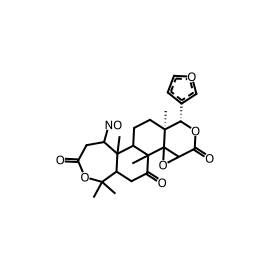 CC1(C)OC(=O)CC(N=O)C2(C)C1CC(=O)C1(C)C2CC[C@@]2(C)[C@H](c3ccoc3)OC(=O)C3OC312